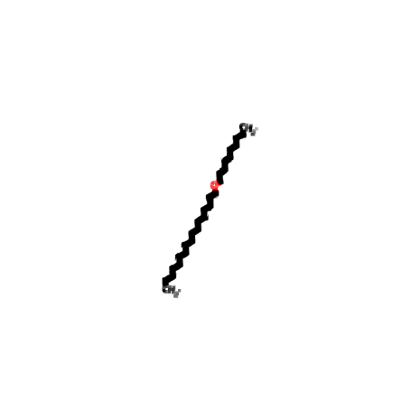 [CH2]CCCCCCCCCCCCCCCCOCCCCCCCCC[CH2]